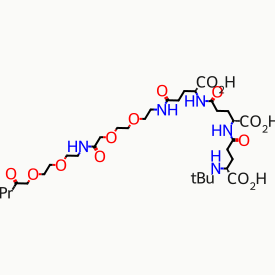 CC(C)C(=O)COCCOCCNC(=O)COCCOCCNC(=O)CC[C@H](NC(=O)CC[C@H](NC(=O)CC[C@H](NC(C)(C)C)C(=O)O)C(=O)O)C(=O)O